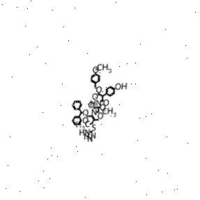 COc1ccc(COC(=O)C(C(=O)N[C@]2(OC)C(=O)N3C(C(=O)OC(c4ccccc4)c4ccccc4)=C(C(C)Sc4nnn[nH]4)COC32)c2ccc(O)cc2)cc1